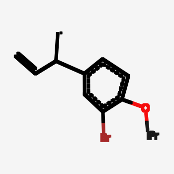 [CH2]C(C=C)c1ccc(OC(C)C)c(Br)c1